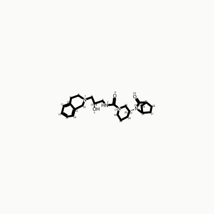 O=C(NC[C@H](O)CN1CCc2ccccc2C1)N1CCC[C@@H](N2C(=O)C3CCC2C3)C1